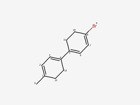 CC1=CC=C(C2=CC=C(Br)CC2)CC1